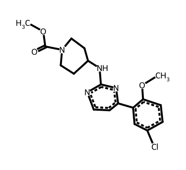 COC(=O)N1CCC(Nc2nccc(-c3cc(Cl)ccc3OC)n2)CC1